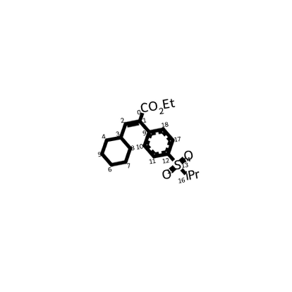 CCOC(=O)C(=CC1CCCCC1)c1ccc(S(=O)(=O)C(C)C)cc1